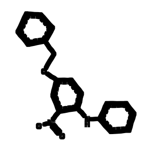 O=[N+]([O-])c1cc(OCc2ccccc2)ccc1Nc1ccccc1